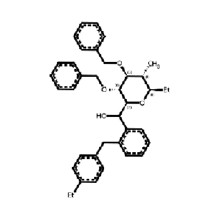 CCc1ccc(Cc2ccccc2C(O)[C@@H]2O[C@H](CC)[C@@H](C)[C@H](OCc3ccccc3)[C@H]2OCc2ccccc2)cc1